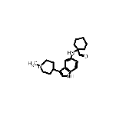 CN1CCC(c2c[nH]c3ccc(NC4(C=O)CCCCC4)cc23)CC1